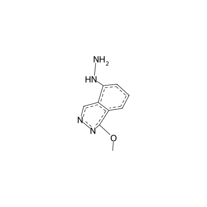 COc1nncc2c(NN)cccc12